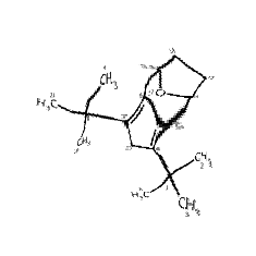 CC(C)(C)C1=C2C(=C(C(C)(C)C)C1)C1CCC2O1